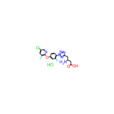 Cl.NC(CC(=O)O)Cc1nnn(-c2ccc(Oc3ncc(Cl)cc3F)cc2F)n1